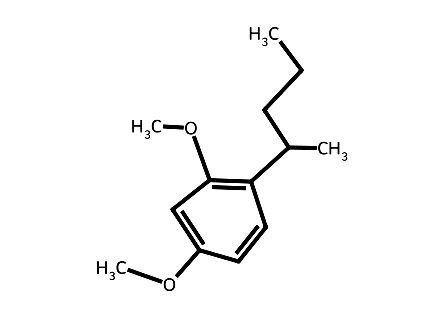 CCCC(C)c1ccc(OC)cc1OC